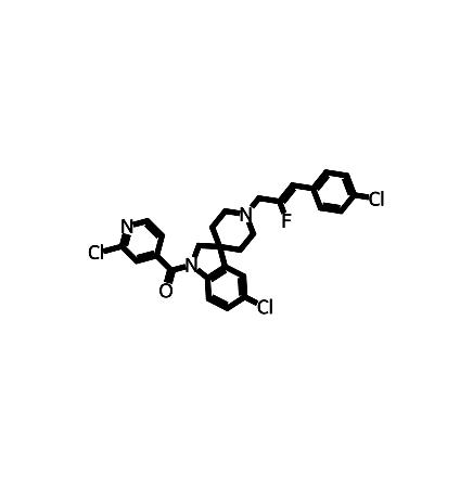 O=C(c1ccnc(Cl)c1)N1CC2(CCN(CC(F)=Cc3ccc(Cl)cc3)CC2)c2cc(Cl)ccc21